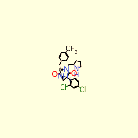 NC(=O)[C@H](Cc1ccc(C(F)(F)F)cc1)N(CC1CCCN1)C(=O)C1(c2ccc(Cl)cc2Cl)CC1